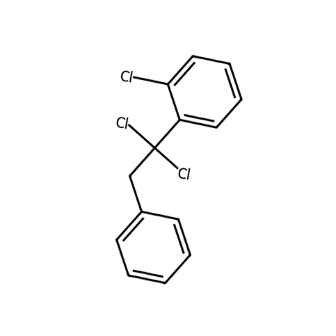 Clc1ccccc1C(Cl)(Cl)Cc1ccccc1